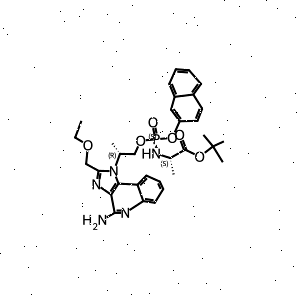 CCOCc1nc2c(N)nc3ccccc3c2n1[C@H](C)CO[P@@](=O)(N[C@@H](C)C(=O)OC(C)(C)C)Oc1ccc2ccccc2c1